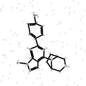 CCn1ncc2c(N3C4CCC3COC4)nc(-c3ccc(N)cc3)nc21